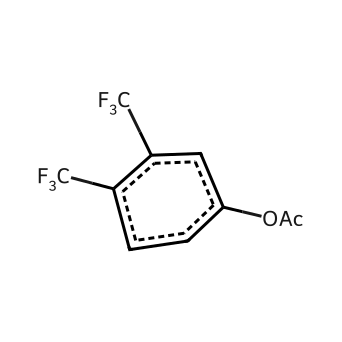 CC(=O)Oc1ccc(C(F)(F)F)c(C(F)(F)F)c1